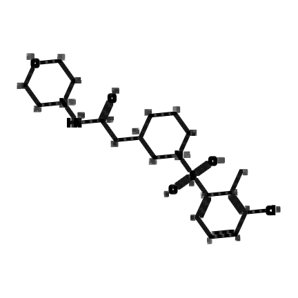 Cc1c(Cl)cccc1S(=O)(=O)N1CCCC(CC(=O)NN2CCOCC2)C1